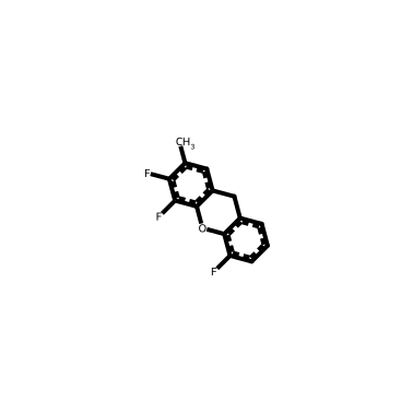 Cc1cc2c(c(F)c1F)Oc1c(F)cccc1C2